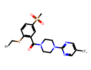 CC(C)CSc1ccc(S(C)(=O)=O)cc1C(=O)N1CCN(c2ncc(C(F)(F)F)cn2)CC1